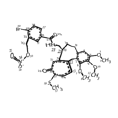 COc1cc2c(c(OC)c1OC)-c1ccc(SC)c(=O)cc1[C@@H](NC(=O)c1ccc(Br)c(CO[N+](=O)[O-])c1)CC2